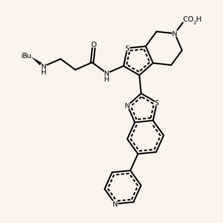 CC[C@H](C)NCCC(=O)Nc1sc2c(c1-c1nc3cc(-c4ccncc4)ccc3s1)CCN(C(=O)O)C2